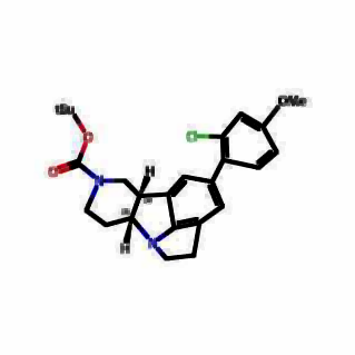 COc1ccc(-c2cc3c4c(c2)[C@H]2CN(C(=O)OC(C)(C)C)CC[C@H]2N4CC3)c(Cl)c1